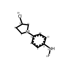 FNc1ccc(N2CCC(Cl)C2)cc1